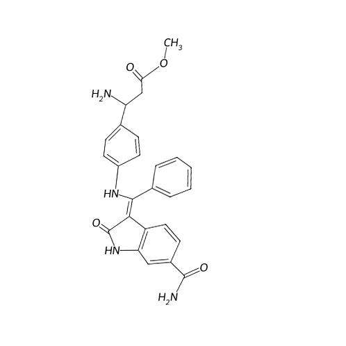 COC(=O)CC(N)c1ccc(N/C(=C2\C(=O)Nc3cc(C(N)=O)ccc32)c2ccccc2)cc1